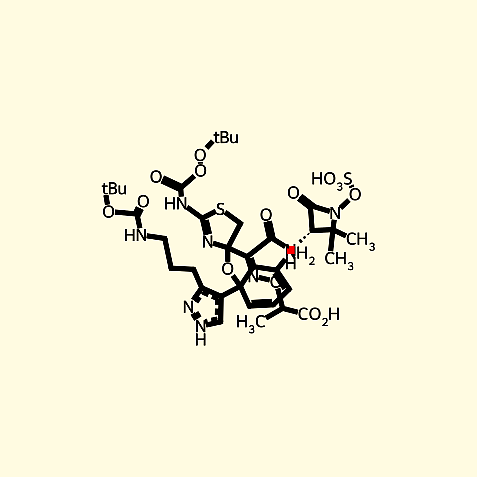 CC(O/N=C(\C(=O)N[C@@H]1C(=O)N(OS(=O)(=O)O)C1(C)C)C1(OC2(c3c[nH]nc3CCCNC(=O)OC(C)(C)C)C=CC=C(N)C2)CSC(NC(=O)OOC(C)(C)C)=N1)C(=O)O